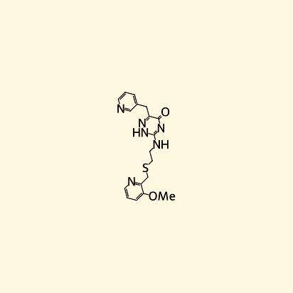 COc1cccnc1CSCCNc1nc(=O)c(Cc2cccnc2)n[nH]1